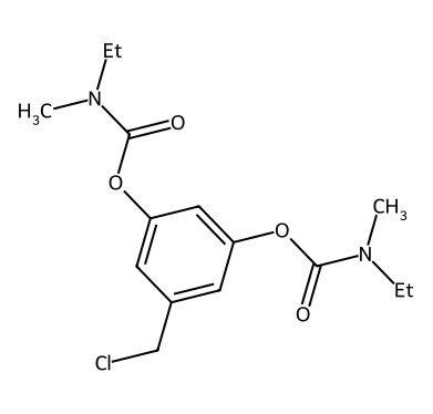 CCN(C)C(=O)Oc1cc(CCl)cc(OC(=O)N(C)CC)c1